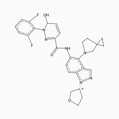 O=C(Nc1ccc2c(cnn2[C@@H]2CCOC2)c1N1CCC2(CC2)C1)C1=NN(c2c(F)cccc2F)C(O)C=C1